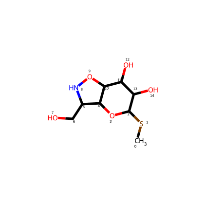 CSC1OC2C(CO)NOC2C(O)C1O